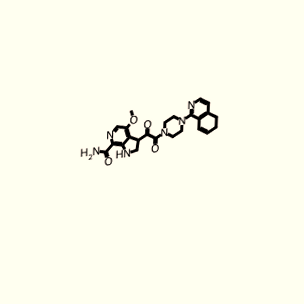 COc1cnc(C(N)=O)c2c1C(C(=O)C(=O)N1CCN(c3nccc4c3C=CCC4)CC1)CN2